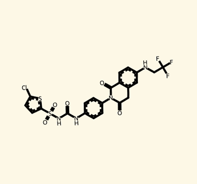 O=C(Nc1ccc(N2C(=O)Cc3cc(NCC(F)(F)F)ccc3C2=O)cc1)NS(=O)(=O)c1ccc(Cl)s1